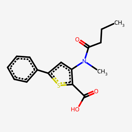 CCCC(=O)N(C)c1cc(-c2ccccc2)sc1C(=O)O